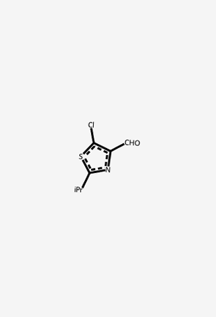 CC(C)c1nc(C=O)c(Cl)s1